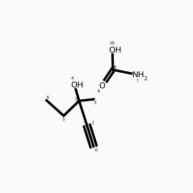 C#CC(C)(O)CC.NC(=O)O